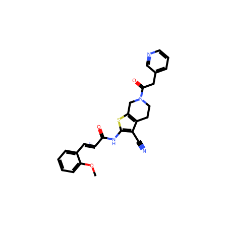 COc1ccccc1/C=C/C(=O)Nc1sc2c(c1C#N)CCN(C(=O)Cc1cccnc1)C2